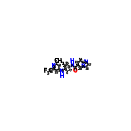 Cc1cc(N[C@H]2CC[C@@H](NC(=O)c3ccc4nccn4c3)CC2)cc(C(F)(F)F)n1